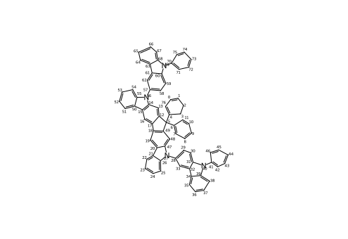 C1=CCCC(C2(c3ccccc3)c3cc4c(cc3-c3cc5c6ccccc6n(-c6ccc7c(c6)c6ccccc6n7-c6ccccc6)c5cc32)c2ccccc2n4-c2ccc3c(c2)c2ccccc2n3-c2ccccc2)=C1